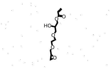 C=CC(=O)OCC(O)COCCOCC1CO1